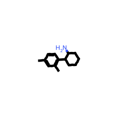 Cc1ccc(C2CCCCC2N)c(C)c1